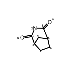 O=C1[N]C(=O)C2CCC1C2